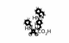 O=C(O)C(Cc1ccc(Nc2nccc3ccccc23)cc1)Nc1c(NCc2ccccc2)c(=O)c1=O